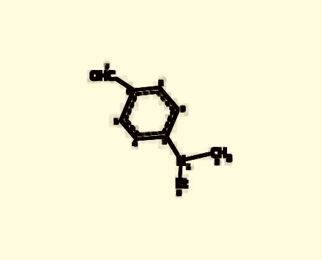 CCN(C)c1ccc(C=O)cc1